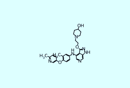 Cc1ccc(Oc2ccc(Nc3cncc4[nH]nc(OCCN5CCC(O)CC5)c34)cc2C)cn1